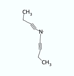 CCC#C[N]C#CCC